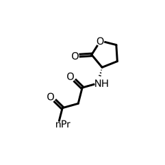 CCCC(=O)CC(=O)N[C@H]1CCOC1=O